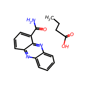 CCCC(=O)O.NC(=O)c1cccc2nc3ccccc3nc12